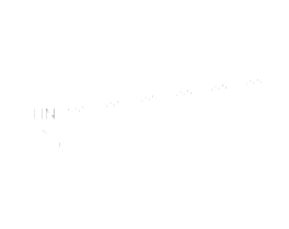 C#CC#CC#CC#CC#CC#CNC(C)=O